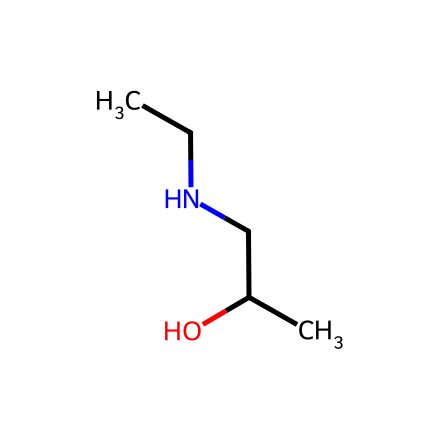 CCNCC(C)O